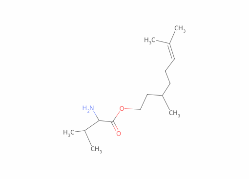 CC(C)=CCCC(C)CCOC(=O)C(N)C(C)C